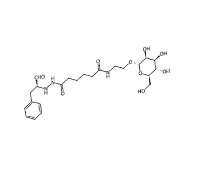 O=C[C@H](Cc1ccccc1)NNC(=O)CCCCC(=O)NCCO[C@H]1O[C@H](CO)[C@@H](O)[C@H](O)[C@@H]1O